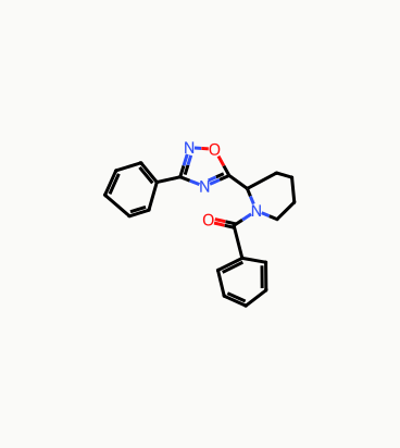 O=C(c1ccccc1)N1CCCCC1c1nc(-c2ccccc2)no1